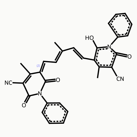 CC(C=Cc1c(C)c(C#N)c(=O)n(-c2ccccc2)c1O)=C/C=C1\C(=O)N(c2ccccc2)C(=O)C(C#N)=C1C